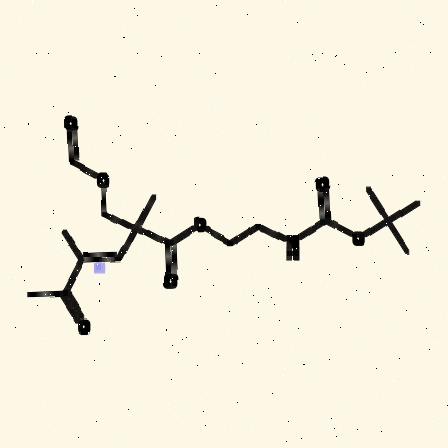 CC(=O)/C(C)=C/C(C)(COC=O)C(=O)OCCNC(=O)OC(C)(C)C